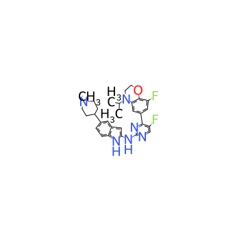 CC(C)N1CCOc2c(F)cc(-c3nc(Nc4cc5cc(C6CCN(C)CC6)ccc5[nH]4)ncc3F)cc21